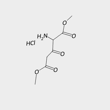 COC(=O)CC(=O)C(N)C(=O)OC.Cl